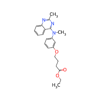 CCOC(=O)CCCOc1cccc(N(C)c2nc(C)nc3ccccc23)c1